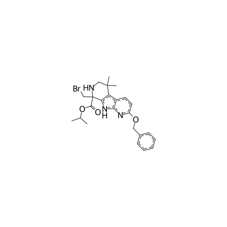 CC(C)OC(=O)C1(CBr)NCC(C)(C)c2c1[nH]c1nc(OCc3ccccc3)ccc21